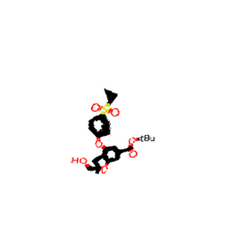 CC(C)(C)OC(=O)c1cc(Oc2ccc(S(=O)(=O)C3CC3)cc2)c2c(c1)OC(C)(CO)C2